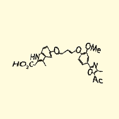 COc1cc(-c2nc(C)c(C(C)=O)o2)ccc1OCCCOc1ccc2[nH]c(CC(=O)O)c(C)c2c1